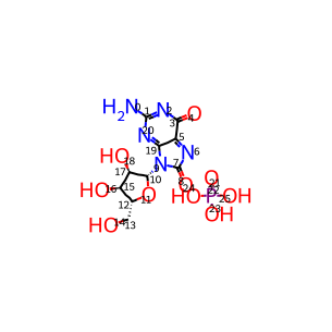 NC1=NC(=O)C2=NC(=O)N([C@@H]3O[C@H](CO)[C@@H](O)[C@H]3O)C2=N1.O=P(O)(O)O